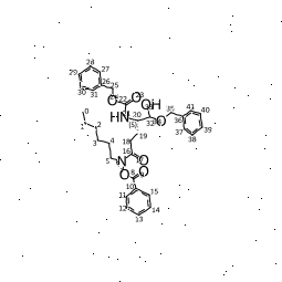 CCCCCCN(OC(=O)c1ccccc1)C(=O)CC[C@H](NC(=O)OCc1ccccc1)C(O)OCc1ccccc1